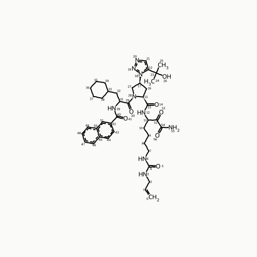 C=CCNC(=O)NCCCCC(NC(=O)[C@@H]1C[C@H](n2nncc2C(C)(C)O)CN1C(=O)C(CC1CCCCC1)NC(=O)c1ccc2ccccc2c1)C(=O)C(N)=O